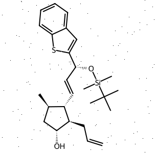 C=CC[C@@H]1[C@@H](/C=C/[C@@H](O[Si](C)(C)C(C)(C)C)c2cc3ccccc3s2)[C@H](C)C[C@H]1O